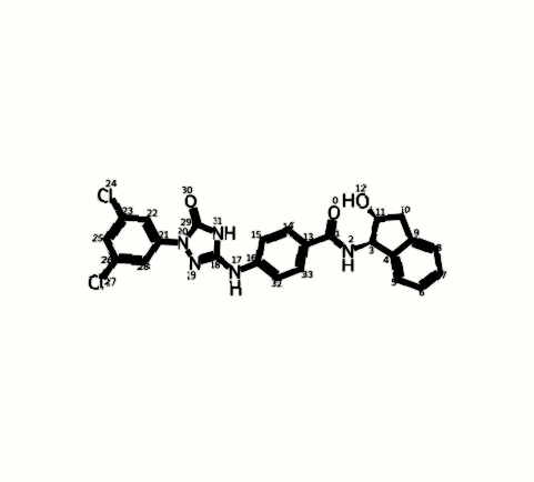 O=C(N[C@@H]1c2ccccc2C[C@@H]1O)c1ccc(Nc2nn(-c3cc(Cl)cc(Cl)c3)c(=O)[nH]2)cc1